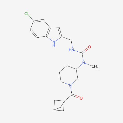 CN(C(=O)NCc1cc2cc(Cl)ccc2[nH]1)C1CCCN(C(=O)C23CC(C2)C3)C1